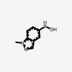 Cn1ncc2cc(BO)ccc21